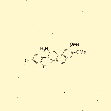 COc1cc2ccc3c(c2cc1OC)C[C@@H](N)[C@H](c1ccc(Cl)cc1Cl)O3